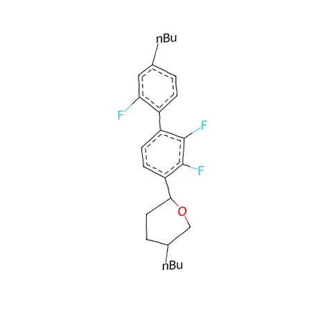 CCCCc1ccc(-c2ccc(C3CCC(CCCC)CO3)c(F)c2F)c(F)c1